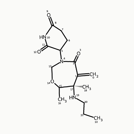 C=C1C(=O)N(C2CCC(=O)NC2=O)COC(C)[C@]1(C)NCCC